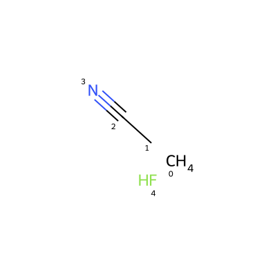 C.CC#N.F